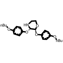 CCCCOc1ccc(O[C@@H]2OCCN[C@H]2Oc2ccc(OCCCC)cc2)cc1